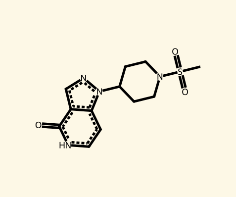 CS(=O)(=O)N1CCC(n2ncc3c(=O)[nH]ccc32)CC1